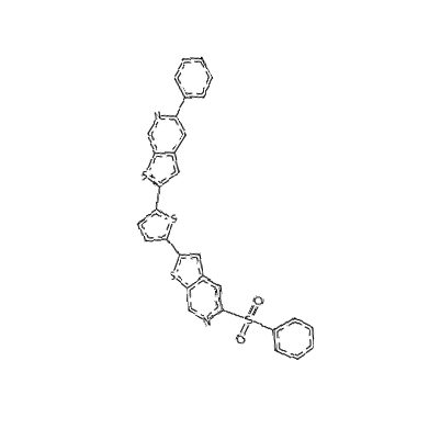 O=S(=O)(c1ccccc1)c1cc2cc(-c3ccc(-c4cc5cc(-c6ccccc6)ncc5s4)s3)sc2cn1